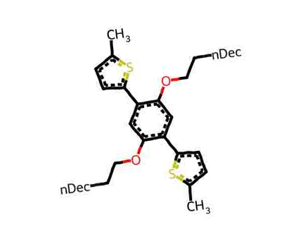 CCCCCCCCCCCCOc1cc(-c2ccc(C)s2)c(OCCCCCCCCCCCC)cc1-c1ccc(C)s1